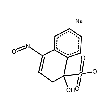 O=NC1=CCC(O)(S(=O)(=O)[O-])c2ccccc21.[Na+]